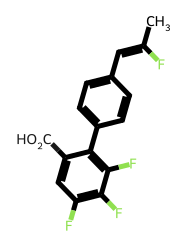 CC(F)=Cc1ccc(-c2c(C(=O)O)cc(F)c(F)c2F)cc1